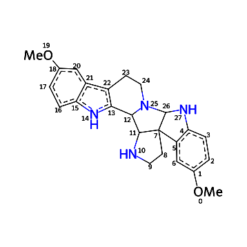 COc1ccc2c(c1)C13CCNC1C1c4[nH]c5ccc(OC)cc5c4CCN1C3N2